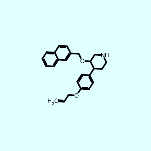 C=CCOc1ccc(C2CCNCC2OCc2ccc3ccccc3c2)cc1